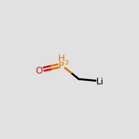 [Li][CH2][PH2]=O